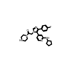 O=C(Cn1cnc(-c2ccc(F)cc2)c1-c1ccnc(NC2CCCC2)c1)N1CCNCC1